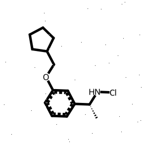 C[C@@H](NCl)c1cccc(OCC2CCCC2)c1